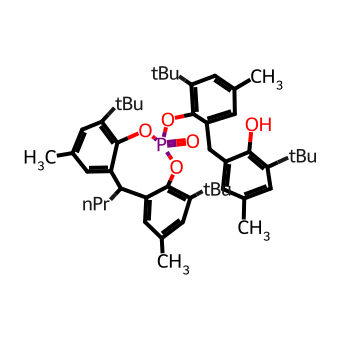 CCCC1c2cc(C)cc(C(C)(C)C)c2OP(=O)(Oc2c(Cc3cc(C)cc(C(C)(C)C)c3O)cc(C)cc2C(C)(C)C)Oc2c1cc(C)cc2C(C)(C)C